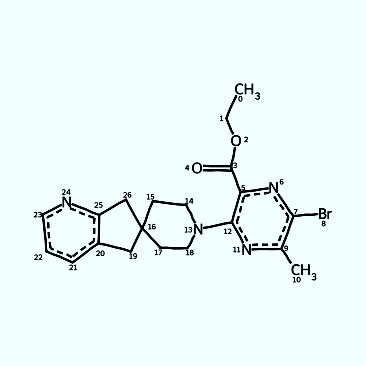 CCOC(=O)c1nc(Br)c(C)nc1N1CCC2(CC1)Cc1cccnc1C2